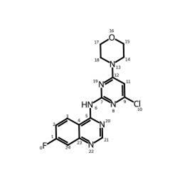 Fc1ccc2c(Nc3nc(Cl)cc(N4CCOCC4)n3)ncnc2c1